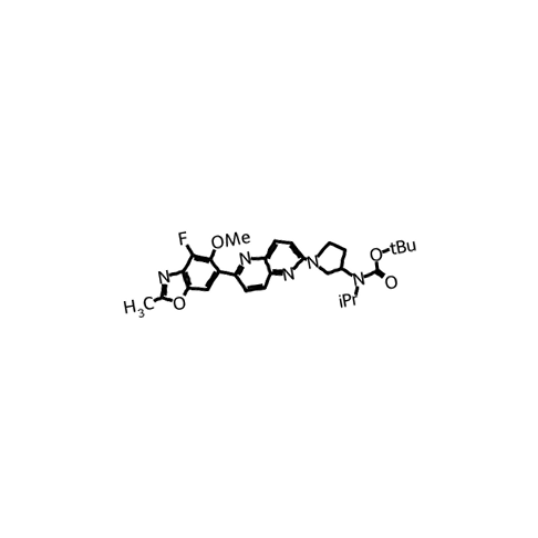 COc1c(-c2ccc3nc(N4CCC(N(C(=O)OC(C)(C)C)C(C)C)C4)ccc3n2)cc2oc(C)nc2c1F